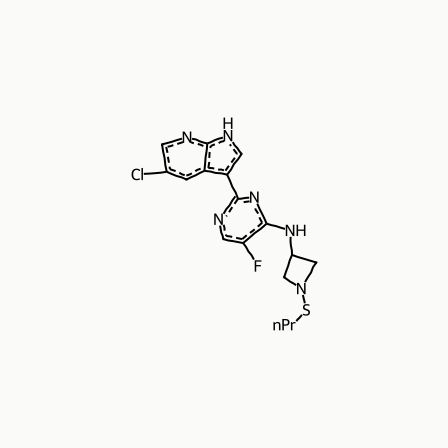 CCCSN1CC(Nc2nc(-c3c[nH]c4ncc(Cl)cc34)ncc2F)C1